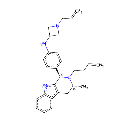 C=CCCN1[C@H](c2ccc(NC3CN(CC=C)C3)cc2)c2[nH]c3ccccc3c2C[C@H]1C